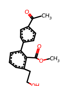 COC(=O)c1c(CCO)cccc1-c1ccc(C(C)=O)cc1